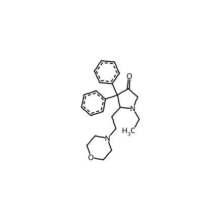 CCN1CC(=O)C(c2ccccc2)(c2ccccc2)C1CCN1CCOCC1